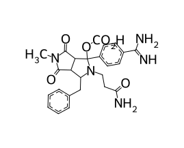 CN1C(=O)C2C(Cc3ccccc3)N(CCC(N)=O)C(OC(=O)O)(c3ccc(C(=N)N)cc3)C2C1=O